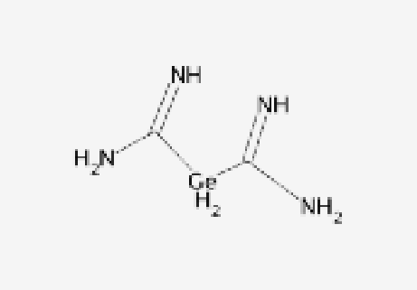 N=[C](N)[GeH2][C](=N)N